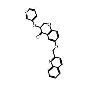 O=C1c2cc(OCc3ccc4ccccc4n3)ccc2OCC1Oc1cccnc1